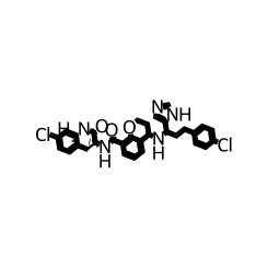 NC(=O)[C@H](Cc1ccc(Cl)cc1)NC(=O)c1cccc2c1OCCC2NC(CCc1ccc(Cl)cc1)c1cnc[nH]1